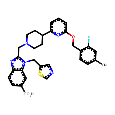 N#Cc1ccc(COc2cccc(C3CCN(Cc4nc5ccc(C(=O)O)cc5n4Cc4cncs4)CC3)n2)c(F)c1